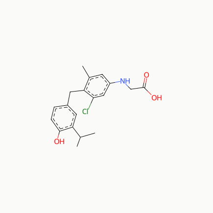 Cc1cc(NCC(=O)O)cc(Cl)c1Cc1ccc(O)c(C(C)C)c1